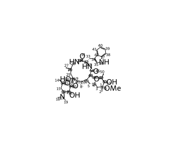 CO[C@]1(C)C[C@H](C[C@H]2[C@H](C)[C@@H](O[C@@H]3O[C@H](C)C[C@H](N(C)C)[C@H]3O)[C@](C)(O)C[C@@H](C)CNC(=O)[C@H](Cc3c[nH]c4ccccc34)NC(=O)[C@@H]2C)O[C@@H](C)[C@@H]1O